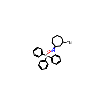 N#CC1CCCCC(=NO[Si](c2ccccc2)(c2ccccc2)c2ccccc2)C1